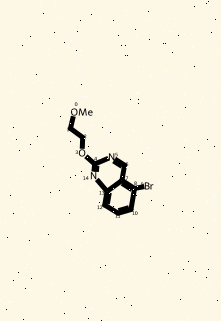 COCCOc1ncc2c(Br)cccc2n1